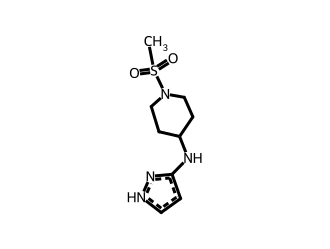 CS(=O)(=O)N1CCC(Nc2cc[nH]n2)CC1